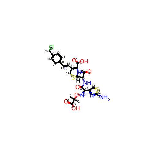 CC(C)(O/N=C(\C(=O)N[C@@H]1C(=O)N2C(C(=O)O)=C(/C=C/c3ccc(CCl)cc3)CS[C@H]12)c1csc(N)n1)C(=O)O